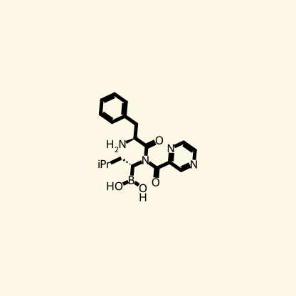 CC(C)C[C@@H](B(O)O)N(C(=O)c1cnccn1)C(=O)[C@@H](N)Cc1ccccc1